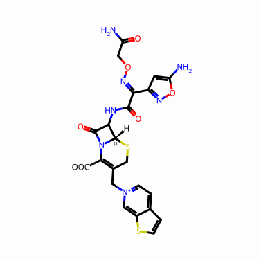 NC(=O)CON=C(C(=O)NC1C(=O)N2C(C(=O)[O-])=C(C[n+]3ccc4ccsc4c3)CS[C@@H]12)c1cc(N)on1